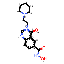 O=C(NO)c1ccc2ncn(CCN3CCCCC3)c(=O)c2c1